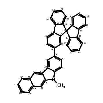 Cn1c2ccc(-c3ccc4c(c3)C3(c5ccccc5-c5ccccc53)c3ccccc3-4)cc2c2cc3ccccc3cc21